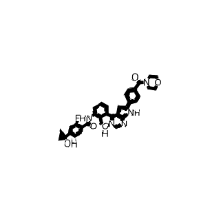 O=C(Nc1cccc(-c2ncnc3[nH]c(-c4ccc(C(=O)N5CCOCC5)cc4)cc23)c1CO)c1ccc(C2(O)CC2)cc1F